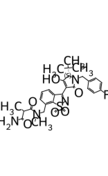 CC(C(N)=O)C(=O)N(C)Cc1cccc2c1S(=O)(=O)N=C2C1=C(O)[C@H](C(C)(C)C)N(Cc2ccc(F)cc2)C1=O